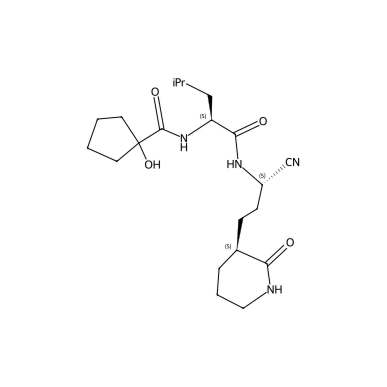 CC(C)C[C@H](NC(=O)C1(O)CCCC1)C(=O)N[C@H](C#N)CC[C@@H]1CCCNC1=O